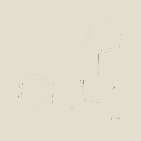 CC1SC(c2ccccc2)N(Cc2ccccc2)C1=O